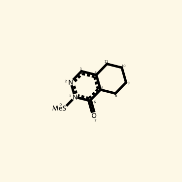 CSn1ncc2c(c1=O)CCCC2